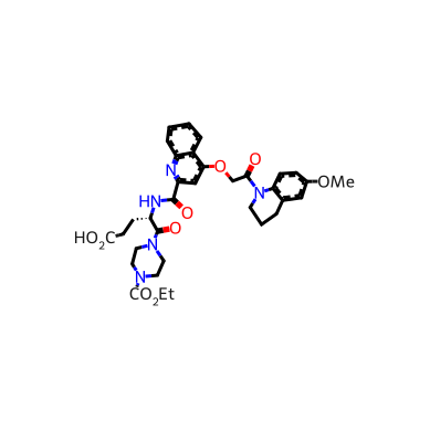 CCOC(=O)N1CCN(C(=O)[C@H](CCC(=O)O)NC(=O)c2cc(OCC(=O)N3CCCc4cc(OC)ccc43)c3ccccc3n2)CC1